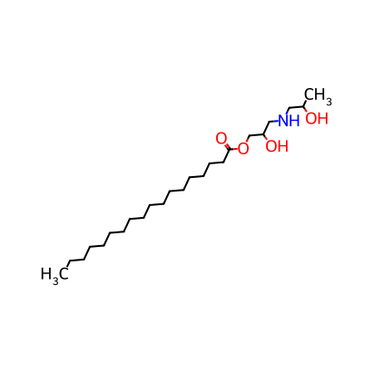 CCCCCCCCCCCCCCCCCC(=O)OCC(O)CNCC(C)O